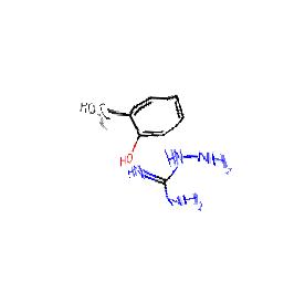 N=C(N)NN.O=C(O)c1ccccc1O